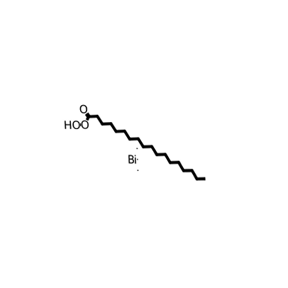 CCCCCCCCCCCCCCCCCC(=O)OO.[Bi]